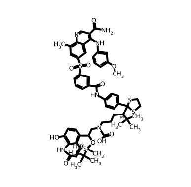 COc1cccc(Nc2c(C(N)=O)cnc3c(C)cc(S(=O)(=O)c4cccc(C(=O)Nc5ccc(C6([C@H](CCCN(CC(O[Si](C)(C)C(C)(C)C)c7ccc(O)c8[nH]c(=O)ccc78)C(=O)O)C(C)(C)C)SCCS6)cc5)c4)cc23)c1